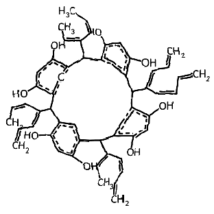 C=C/C=C\C(=C/C)C1c2cc(c(O)cc2O)C(C(/C=C\C)=C/C=C)c2cc(c(O)cc2O)C(C(/C=C\C)=C/C)c2cc(c(O)cc2O)C(C(/C=C\C=C)=C/C=C)c2cc1c(O)cc2O